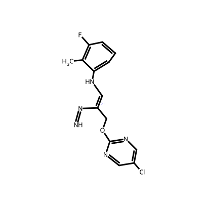 Cc1c(F)cccc1N/C=C(/COc1ncc(Cl)cn1)N=N